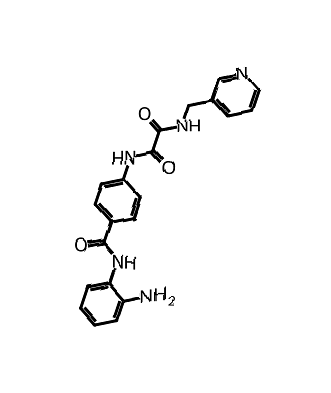 Nc1ccccc1NC(=O)c1ccc(NC(=O)C(=O)NCc2cccnc2)cc1